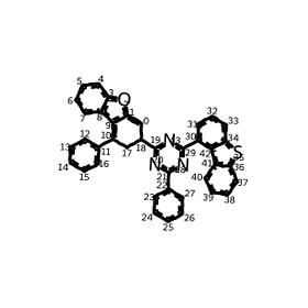 C1=c2oc3ccccc3c2=C(c2ccccc2)CC1c1nc(-c2ccccc2)nc(-c2cccc3sc4ccccc4c23)n1